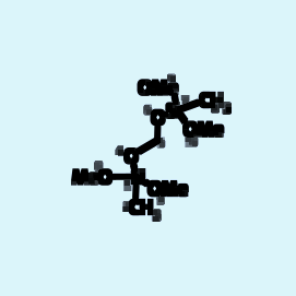 CO[Si](C)(OC)OCO[Si](C)(OC)OC